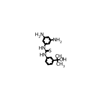 CC(C)(O)c1cccc(NC(=S)Nc2cc(N)cc(N)c2)c1